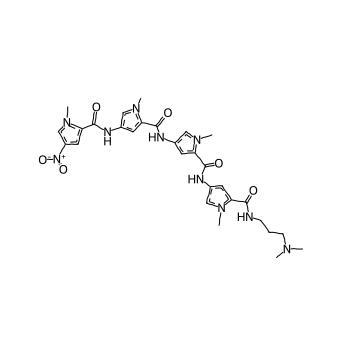 CN(C)CCCNC(=O)c1cc(NC(=O)c2cc(NC(=O)c3cc(NC(=O)c4cc([N+](=O)[O-])cn4C)cn3C)cn2C)cn1C